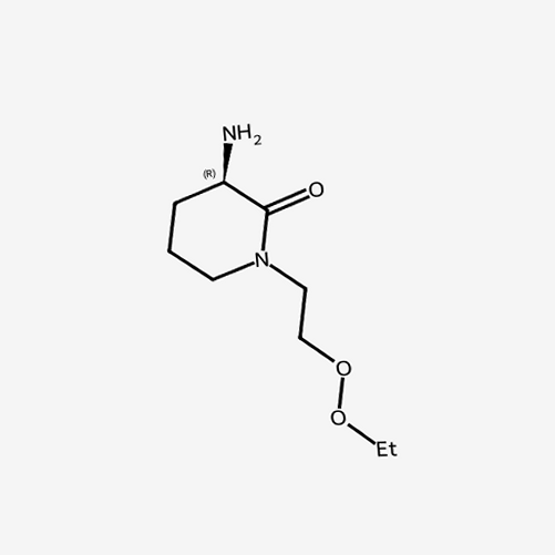 CCOOCCN1CCC[C@@H](N)C1=O